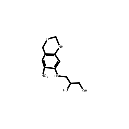 O=[N+]([O-])c1cc2c(cc1NCC(O)CO)NCOC2